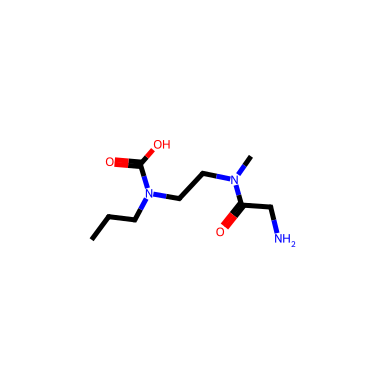 CCCN(CCN(C)C(=O)CN)C(=O)O